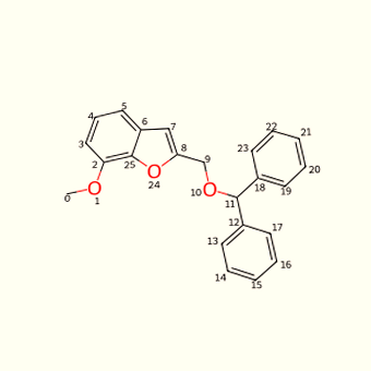 COc1cccc2cc(COC(c3ccccc3)c3ccccc3)oc12